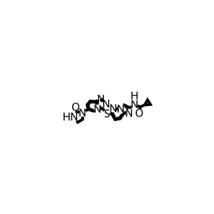 O=C(Nc1cn2nc(Sc3nnc4ccc(N5CCNC5=O)cn34)ccc2n1)C1CC1